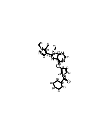 CCn1ncc(-c2nc3c(Oc4ccn(C(=O)C5CCCCC5)c4)ncnc3n2C)c1C